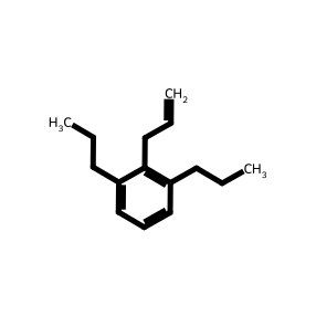 C=CCc1c(CCC)cccc1CCC